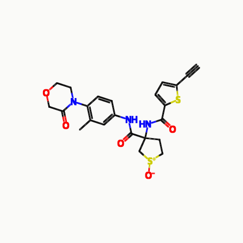 C#Cc1ccc(C(=O)NC2(C(=O)Nc3ccc(N4CCOCC4=O)c(C)c3)CC[S+]([O-])C2)s1